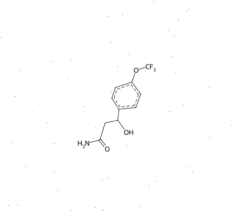 NC(=O)CC(O)c1ccc(OC(F)(F)F)cc1